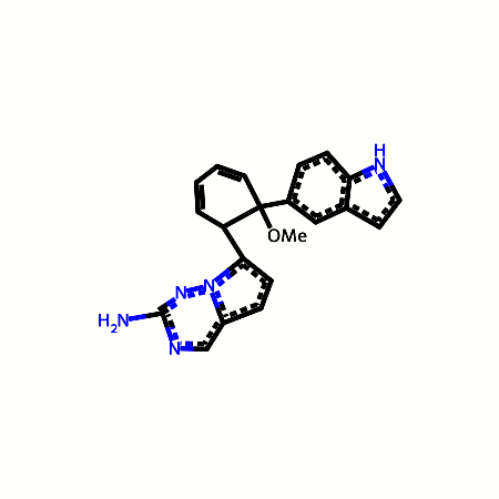 COC1(c2ccc3[nH]ccc3c2)C=CC=CC1c1ccc2cnc(N)nn12